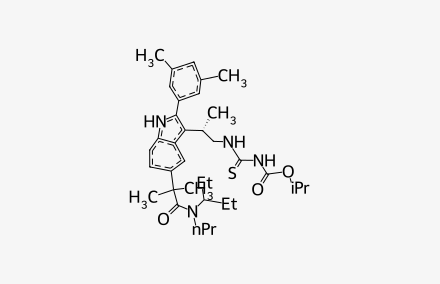 CCCN(C(=O)C(C)(C)c1ccc2[nH]c(-c3cc(C)cc(C)c3)c([C@H](C)CNC(=S)NC(=O)OC(C)C)c2c1)C(CC)CC